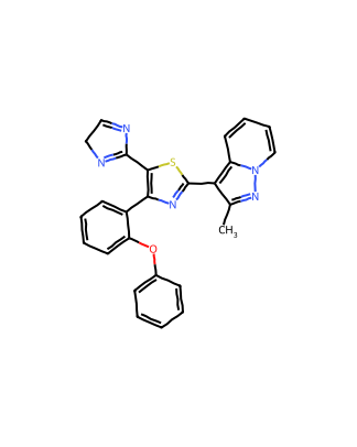 Cc1nn2ccccc2c1-c1nc(-c2ccccc2Oc2ccccc2)c(C2=NCC=N2)s1